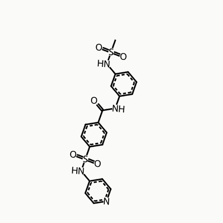 CS(=O)(=O)Nc1cccc(NC(=O)c2ccc(S(=O)(=O)Nc3ccncc3)cc2)c1